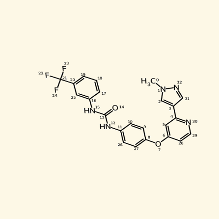 Cn1cc(-c2cc(Oc3ccc(NC(=O)Nc4cccc(C(F)(F)F)c4)cc3)ccn2)cn1